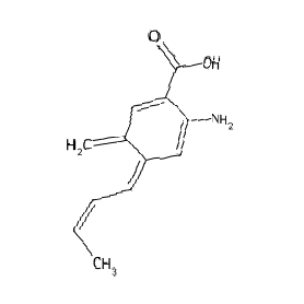 C=c1cc(C(=O)O)c(N)c/c1=C/C=C\C